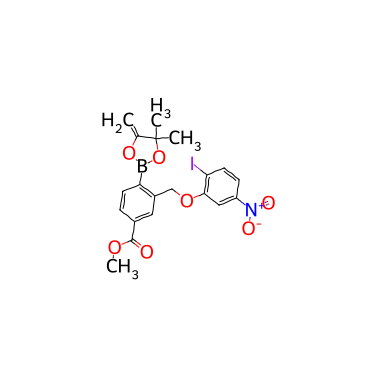 C=C1OB(c2ccc(C(=O)OC)cc2COc2cc([N+](=O)[O-])ccc2I)OC1(C)C